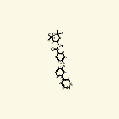 CC1(C)CC(NC(=O)c2ccc(Oc3cccc(-c4ccnnc4)c3)cc2)CC(C)(C)O1